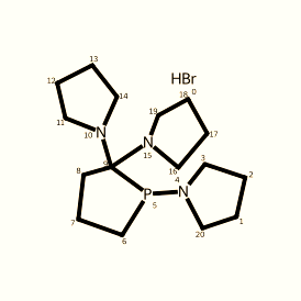 Br.C1CCN(P2CCCC2(N2CCCC2)N2CCCC2)C1